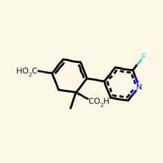 CC1(C(=O)O)CC(C(=O)O)=CC=C1c1ccnc(F)c1